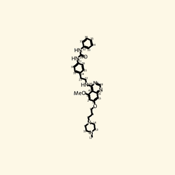 COc1cc(OCCCN2CCN(C)CC2)cc2ncnc(NCCc3ccc(NC(=O)Nc4ccccc4)cc3)c12